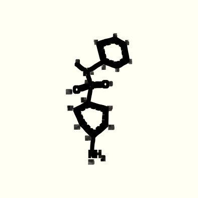 CN(c1ccccc1)S(=O)(=O)c1ccc(N)cc1